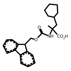 CC(CC1CCCCC1)(NC(=O)OCC1c2ccccc2-c2ccccc21)C(=O)O